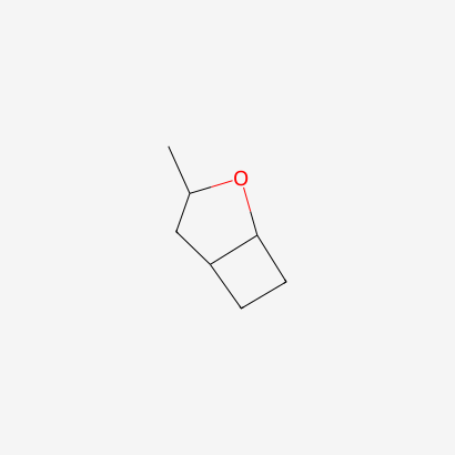 CC1CC2CCC2O1